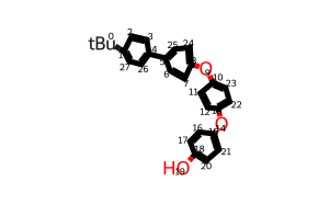 CC(C)(C)c1ccc(-c2ccc(Oc3ccc(Oc4ccc(O)cc4)cc3)cc2)cc1